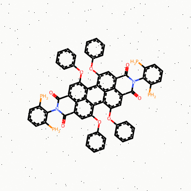 O=C1c2cc(Oc3ccccc3)c3c4c(Oc5ccccc5)cc5c6c(cc(Oc7ccccc7)c(c7c(Oc8ccccc8)cc(c2c37)C(=O)N1c1c(P)cccc1P)c64)C(=O)N(c1c(P)cccc1P)C5=O